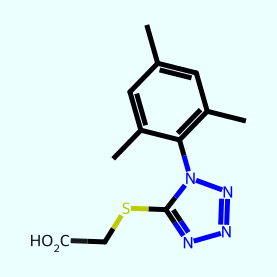 Cc1cc(C)c(-n2nnnc2SCC(=O)O)c(C)c1